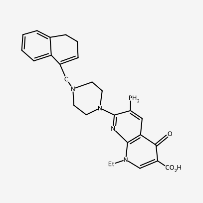 CCn1cc(C(=O)O)c(=O)c2cc(P)c(N3CCN(CC4=CCCc5ccccc54)CC3)nc21